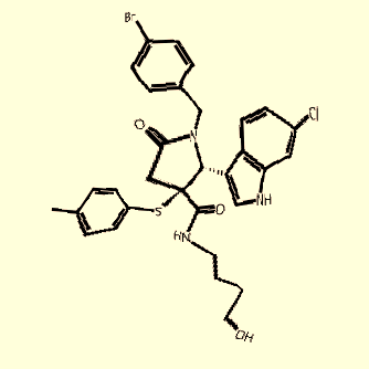 Cc1ccc(S[C@@]2(C(=O)NCCCCO)CC(=O)N(Cc3ccc(Br)cc3)[C@@H]2c2c[nH]c3cc(Cl)ccc23)cc1